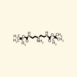 CC(C)(C)OC(=O)NCCN(N)CCNC(=O)OC(C)(C)C